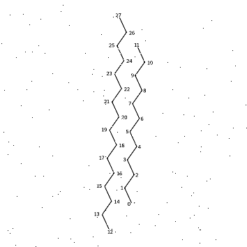 [CH2]CCCCCCCCCCC.[CH2]CCCCCCCCCCCCCCC